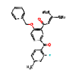 CSC(=CC(=O)c1cc(C(=O)c2ccc(C)cc2F)ccc1OCc1ccccc1)SC